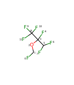 FCOC(F)(C(F)F)C(F)(F)F